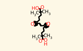 CC(C)(CCCC1=C2OC1=CC2C=CC1=C2OC1=CC2CCCC(C)(C)C(=O)O)C(=O)O